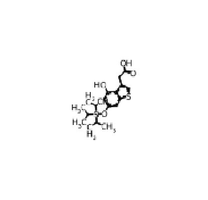 CC(C)[Si](Oc1cc(O)c2c(CC(=O)O)csc2c1)(C(C)C)C(C)C